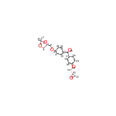 CC1(C)OC[C@H](COc2ccc(C(=O)c3ccc(OC[C@@H]4CO4)cc3)cc2)O1